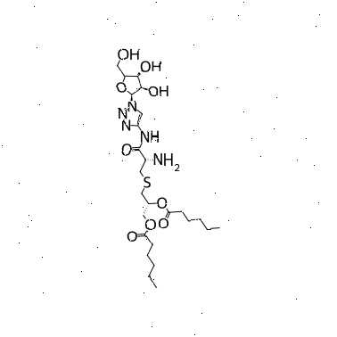 CCCCCC(=O)OC[C@H](CSC[C@@H](N)C(=O)Nc1cn([C@H]2OC(CO)[C@@H](O)[C@H]2O)nn1)OC(=O)CCCCC